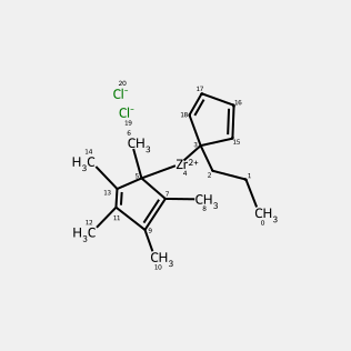 CCC[C]1([Zr+2][C]2(C)C(C)=C(C)C(C)=C2C)C=CC=C1.[Cl-].[Cl-]